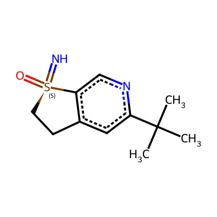 CC(C)(C)c1cc2c(cn1)[S@@](=N)(=O)CC2